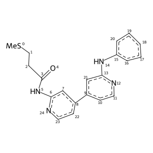 CSCCC(=O)Nc1cc(-c2ccnc(Nc3ccccc3)c2)ccn1